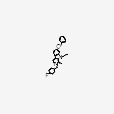 CCCn1c2cc(OCc3ccccc3)ccc2c2cc[n+](Cc3ccc(F)cc3)c(C)c21